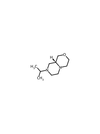 CC(C)N1CCN2CCOC[C@H]2C1